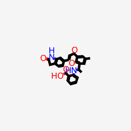 Cc1cc(C(C)Nc2ccccc2C(=O)O)c2oc(-c3ccc4c(c3)NC(=O)C4)cc(=O)c2c1